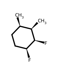 C[C@H]1[C@@H](F)[C@@H](F)CC[C@H]1C